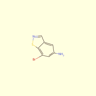 Nc1cc(Br)c2sncc2c1